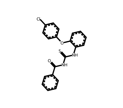 O=C(NC(=S)Nc1ccccc1Oc1ccc(Cl)cc1)c1ccccc1